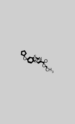 CCOC(=O)c1cn2c(n1)sc1cc(OC3CCCC3)ccc12